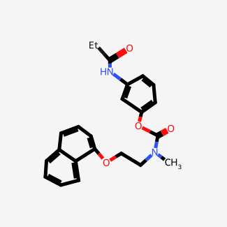 CCC(=O)Nc1cccc(OC(=O)N(C)CCOc2cccc3ccccc23)c1